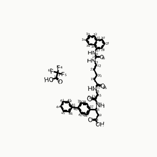 O=C(O)C(F)(F)F.O=C(O)CC(NC(=O)CNC(=O)CCCCNC(=O)Nc1cccc2ccccc12)c1ccc(-c2ccccc2)cc1